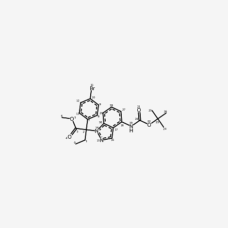 CCC(C(=O)OC)(c1ccc(Br)cc1)n1ncc2c(NC(=O)OC(C)(C)C)cccc21